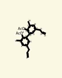 C=CCc1cc(C)c(OC(C)=O)c(-c2cc(CC=C)cc(C)c2OC(C)=O)c1